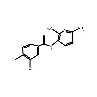 Cc1nc(N)ccc1NC(=O)c1ccc(Cl)c(Cl)c1